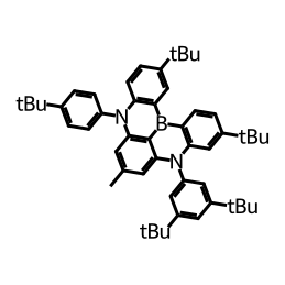 Cc1cc2c3c(c1)N(c1cc(C(C)(C)C)cc(C(C)(C)C)c1)c1cc(C(C)(C)C)ccc1B3c1cc(C(C)(C)C)ccc1N2c1ccc(C(C)(C)C)cc1